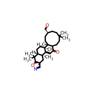 CC1(C)CCC2C(=O)C=C3[C@@]4(C)Cc5cnoc5C(C)(C)[C@@H]4CC[C@@]3(C)[C@]2(C)CC[C@@H](C=O)CC1